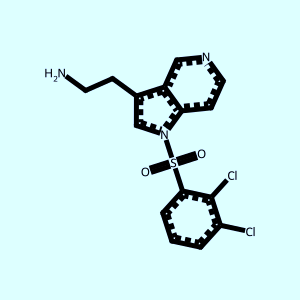 NCCc1cn(S(=O)(=O)c2cccc(Cl)c2Cl)c2ccncc12